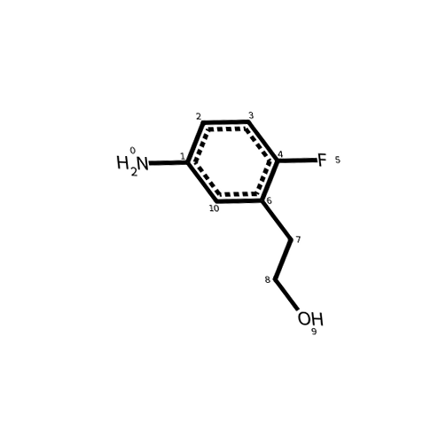 Nc1ccc(F)c(CCO)c1